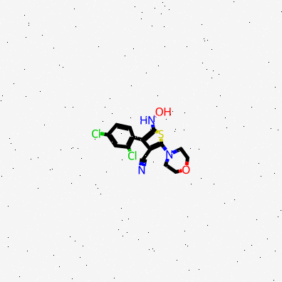 N#Cc1c(N2CCOCC2)sc(NO)c1-c1ccc(Cl)cc1Cl